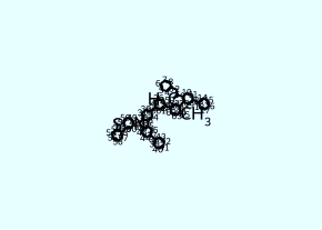 C=C(Cc1ccccc1)c1ccc(-c2ccccc2)cc1-c1cc(-c2cccc(-c3ccc4c(c3)c3cc(-c5ccccc5)ccc3n4-c3ccc4sc5ccccc5c4c3)c2)ccc1C